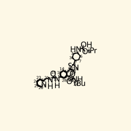 CC(C)OC(O)NC1CCC(c2ncc(-c3ccc(NC(=O)NCc4ccccn4)cc3S(=O)(=O)NC(C)(C)C)s2)CC1